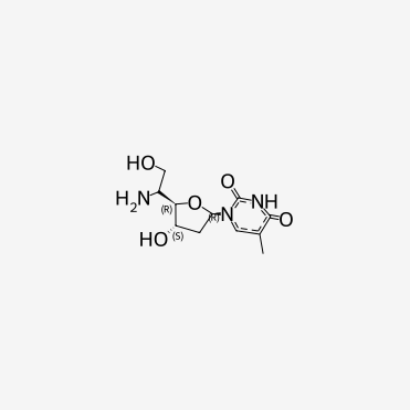 Cc1cn([C@H]2C[C@H](O)[C@@H](C(N)CO)O2)c(=O)[nH]c1=O